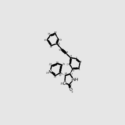 O=C1N[C@H](c2cccc(C#Cc3ccccc3)c2)[C@@H](c2cccnc2)O1